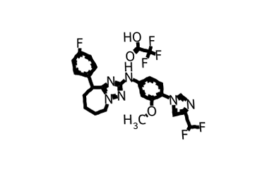 COc1cc(Nc2nc3n(n2)CCCCC3c2ccc(F)cc2)ccc1-n1cnc(C(F)F)c1.O=C(O)C(F)(F)F